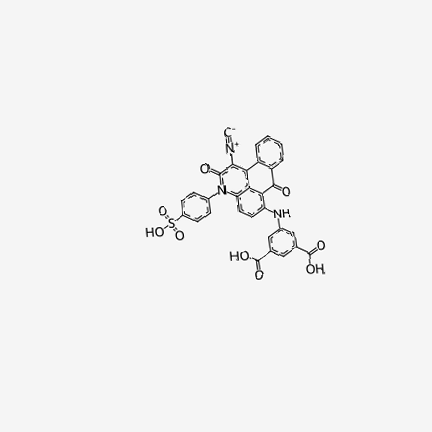 [C-]#[N+]c1c2c3c(c(Nc4cc(C(=O)O)cc(C(=O)O)c4)ccc3n(-c3ccc(S(=O)(=O)O)cc3)c1=O)C(=O)c1ccccc1-2